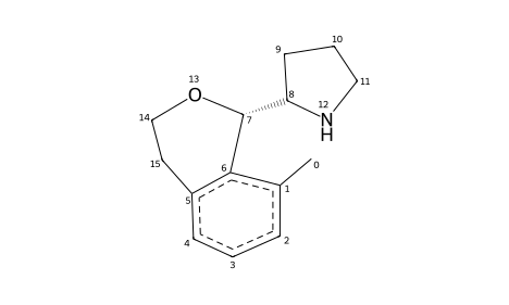 Cc1cccc2c1[C@@H](C1CCCN1)OCC2